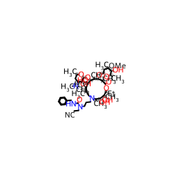 CC[C@H]1OC(=O)[C@H](C)[C@@H](O[C@H]2C[C@@](C)(OC)[C@@H](O)[C@H](C)O2)[C@H](C)[C@@H](O[C@@H]2O[C@H](C)C[C@H](N(C)C)[C@H]2O)[C@](C)(O)C[C@@H](C)CN(CCCN(CCC#N)C(=O)NCc2ccccc2)[C@H](C)[C@@H](O)[C@]1(C)O